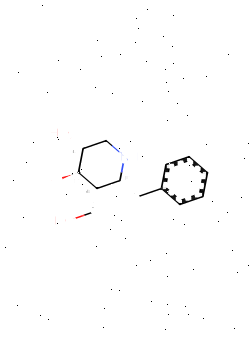 OC[C@@H]1[C@@H](O)[C@H](O)CN[C@@H]1Cc1ccccc1